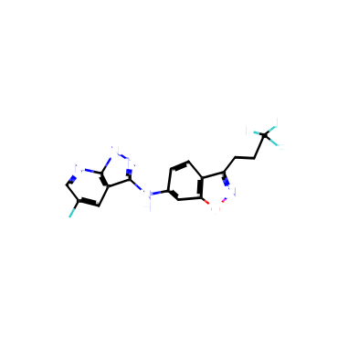 Fc1cnc2[nH]nc(Nc3ccc4c(CCC(F)(F)F)noc4c3)c2c1